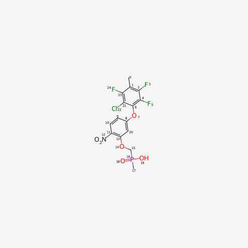 Cc1c(F)c(F)c(Oc2ccc([N+](=O)[O-])c(OCP(C)(=O)O)c2)c(Cl)c1F